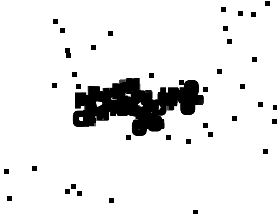 CS(=O)(=O)NCCOc1cc2ncnc(NC3C=CC(F)=C(Cl)C3)c2cc1[N+](=O)[O-]